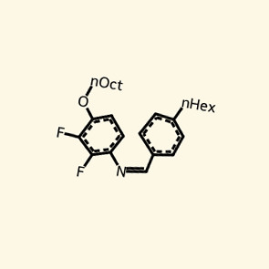 CCCCCCCCOc1ccc(/N=C\c2ccc(CCCCCC)cc2)c(F)c1F